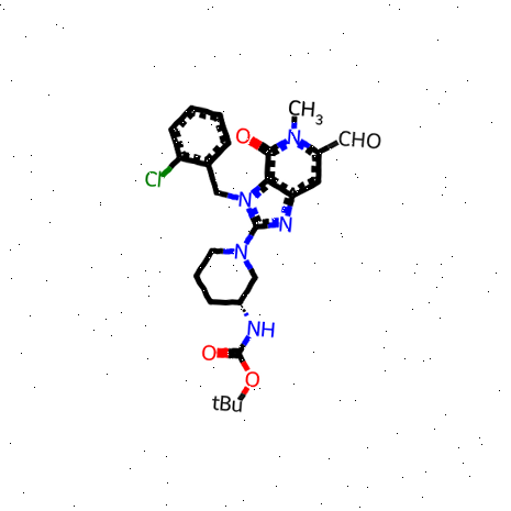 Cn1c(C=O)cc2nc(N3CCC[C@@H](NC(=O)OC(C)(C)C)C3)n(Cc3ccccc3Cl)c2c1=O